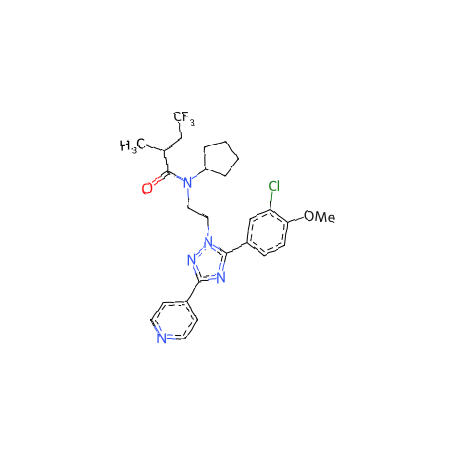 COc1ccc(-c2nc(-c3ccncc3)nn2CCN(C(=O)C(C)CC(F)(F)F)C2CCCC2)cc1Cl